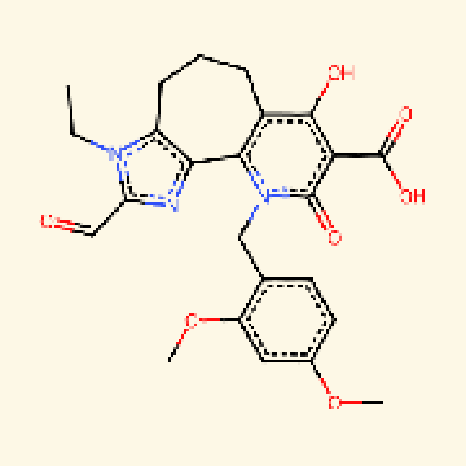 CCn1c(C=O)nc2c1CCCc1c(O)c(C(=O)O)c(=O)n(Cc3ccc(OC)cc3OC)c1-2